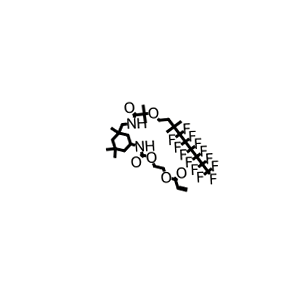 C=CC(=O)OCCOC(=O)NC1CC(C)(C)CC(C)(CNC(=O)C(C)(C)OCCC(C)(C)C(F)(F)C(F)(F)C(F)(F)C(F)(F)C(F)(F)C(F)(F)F)C1